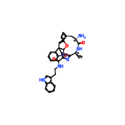 CC(C)[C@@H]1NC(=O)[C@@H](N)Cc2ccc3c(c2)C2(c4ccccc4NC2O3)c2oc1nc2C(=O)NCCc1c[nH]c2ccccc12